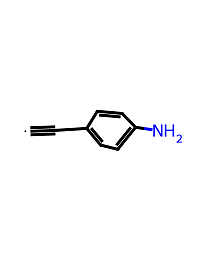 [C]#Cc1ccc(N)cc1